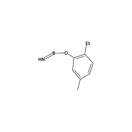 CCc1ccc(C)cc1OB=N